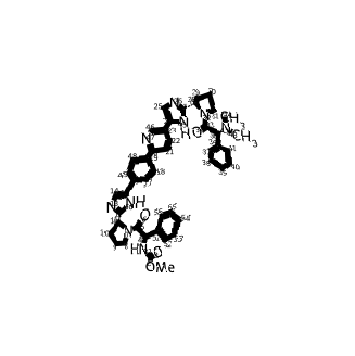 COC(=O)NC(C(=O)N1CCC[C@H]1c1ncc(-c2ccc(-c3ccc(-c4cnc([C@@H]5CCCN5C(=O)[C@@H](c5ccccc5)N(C)C)[nH]4)cn3)cc2)[nH]1)c1ccccc1